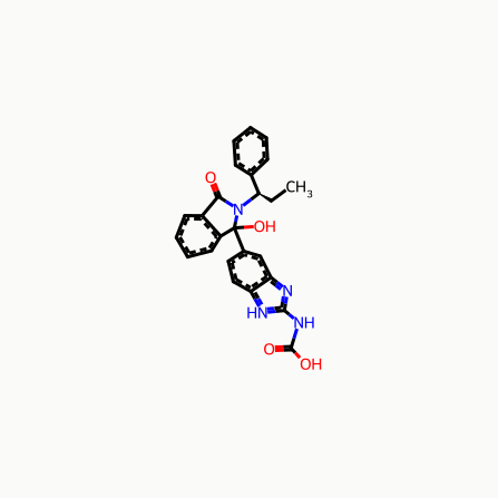 CC[C@H](c1ccccc1)N1C(=O)c2ccccc2C1(O)c1ccc2[nH]c(NC(=O)O)nc2c1